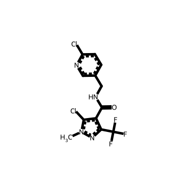 Cn1nc(C(F)(F)F)c(C(=O)NCc2ccc(Cl)nc2)c1Cl